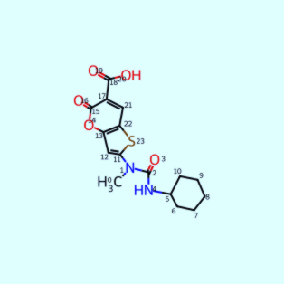 CN(C(=O)NC1CCCCC1)c1cc2oc(=O)c(C(=O)O)cc2s1